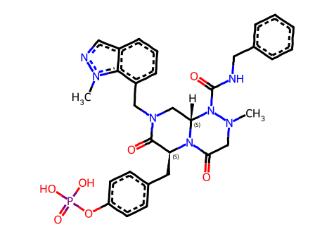 CN1CC(=O)N2[C@@H](Cc3ccc(OP(=O)(O)O)cc3)C(=O)N(Cc3cccc4cnn(C)c34)C[C@@H]2N1C(=O)NCc1ccccc1